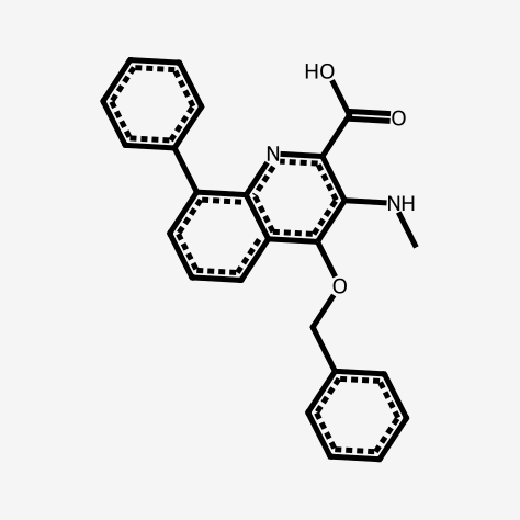 CNc1c(C(=O)O)nc2c(-c3ccccc3)cccc2c1OCc1ccccc1